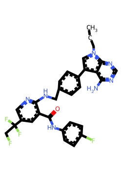 CCCn1cc(-c2ccc(CNc3ncc(C(F)(F)CF)cc3C(=O)Nc3ccc(F)cc3)cc2)c2c(N)ncnc21